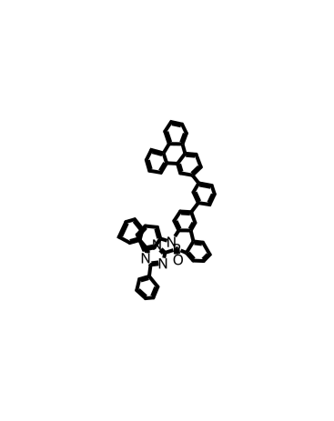 O=P1(c2nc(-c3ccccc3)nc(-c3ccccc3)n2)c2ccccc2-c2cc(-c3cccc(-c4ccc5c6ccccc6c6ccccc6c5c4)c3)ccc2N1c1ccccc1